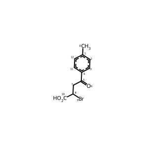 Cc1ccc(C(=O)CC(Br)C(=O)O)cc1